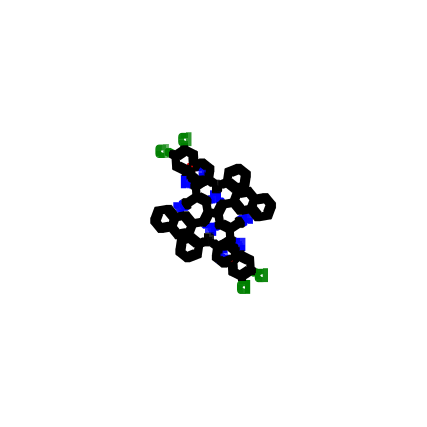 N#C/C(c1cnc2cc(Cl)c(Cl)cc2n1)=c1\c2c(-c3ccc4ccccc4c3)n(B(c3ccccc3)c3ccccc3)/c(=C(/C#N)c3cnc4cc(Cl)c(Cl)cc4n3)c2c(-c2ccc3ccccc3c2)n1B(c1ccccc1)c1ccccc1